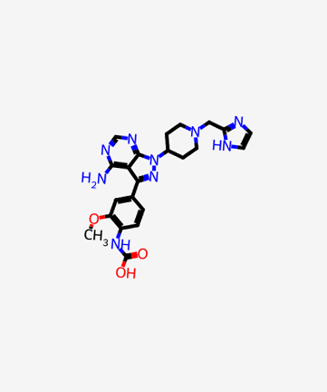 COc1cc(-c2nn(C3CCN(Cc4ncc[nH]4)CC3)c3ncnc(N)c23)ccc1NC(=O)O